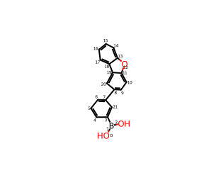 OB(O)c1cccc(-c2ccc3oc4ccccc4c3c2)c1